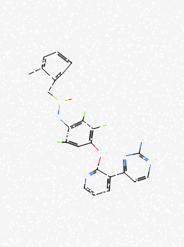 Cc1ccccc1C[S+]([O-])Nc1c(F)cc(Oc2ncccc2-c2ccnc(N)n2)c(F)c1F